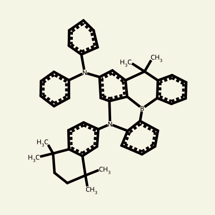 CC1(C)CCC(C)(C)c2cc(N3c4ccccc4B4c5ccccc5C(C)(C)c5cc(N(c6ccccc6)c6ccccc6)cc3c54)ccc21